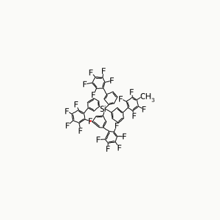 Cc1c(F)c(F)c(-c2cccc([Si](c3cccc(-c4c(F)c(F)c(F)c(F)c4F)c3)(c3cccc(-c4c(F)c(F)c(F)c(F)c4F)c3)c3cccc(-c4c(F)c(F)c(F)c(F)c4F)c3)c2)c(F)c1F